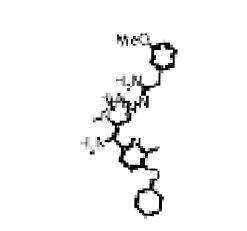 COc1cccc(C/C(N)=N/N(N)C/C(=C(/N)c2ccc(OC3CCCCC3)c(C)n2)N(C)N)c1